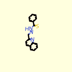 S=C(NN=Cc1ccc2ccccc2n1)c1ccccc1